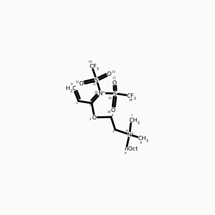 C=CC(OCC[N+](C)(C)CCCCCCCC)=[N+](S(=O)(=O)C(F)(F)F)S(=O)(=O)C(F)(F)F